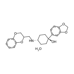 O.O[C@]1(c2ccc3c(c2)OCO3)CC[C@@H](NCC2COc3ccccc3O2)CC1